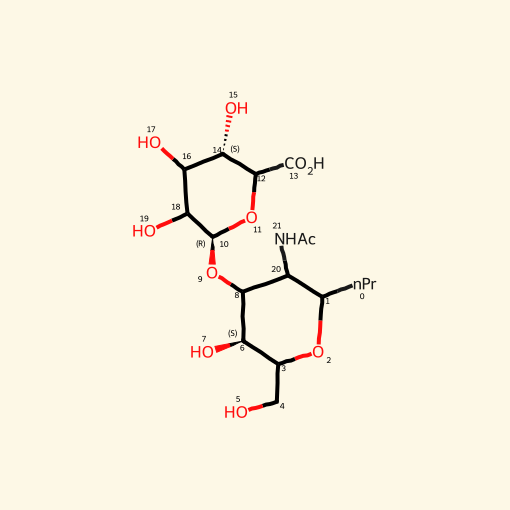 CCCC1OC(CO)[C@@H](O)C(O[C@@H]2OC(C(=O)O)[C@@H](O)C(O)C2O)C1NC(C)=O